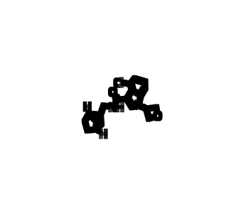 O=C(NCC1C[C@@H]2CC[C@H]1C2)c1cn(C2COC2)c2cccc(Cl)c12